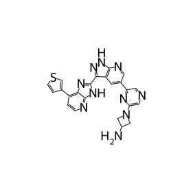 NC1CN(c2cncc(-c3cnc4[nH]nc(-c5nc6c(-c7ccsc7)ccnc6[nH]5)c4c3)n2)C1